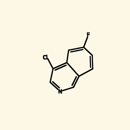 Fc1ccc2cncc(Cl)c2c1